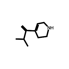 C=C(C1=CCNCC1)C(C)C